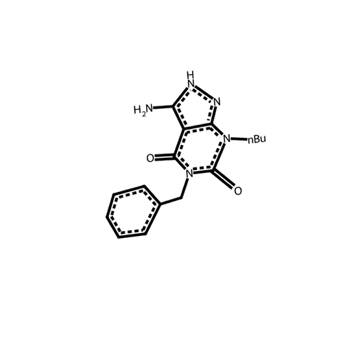 CCCCn1c(=O)n(Cc2ccccc2)c(=O)c2c(N)[nH]nc21